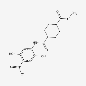 COC(=O)C1CCC(C(=O)Nc2cc(O)c([N+](=O)[O-])cc2O)CC1